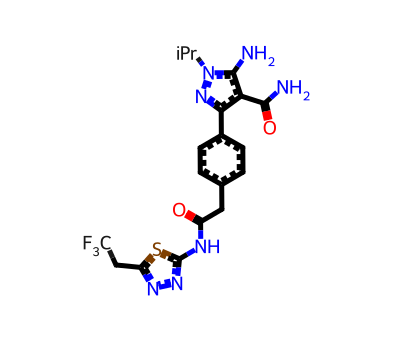 CC(C)n1nc(-c2ccc(CC(=O)Nc3nnc(CC(F)(F)F)s3)cc2)c(C(N)=O)c1N